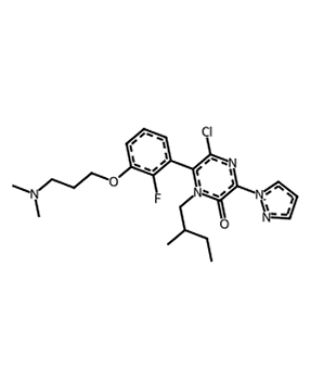 CCC(C)Cn1c(-c2cccc(OCCCN(C)C)c2F)c(Cl)nc(-n2cccn2)c1=O